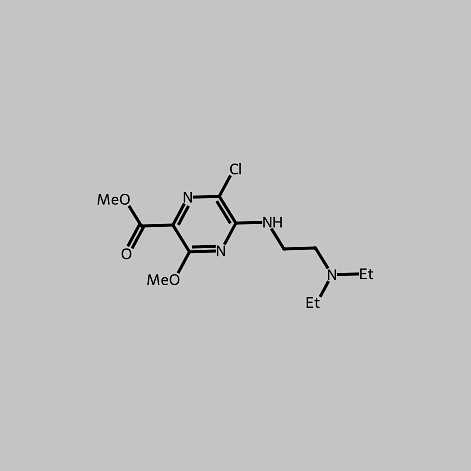 CCN(CC)CCNc1nc(OC)c(C(=O)OC)nc1Cl